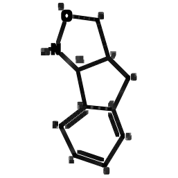 c1ccc2c(c1)CC1CO[N]C21